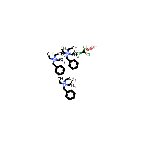 CC[N+](CC)(CC)Cc1ccccc1.CC[N+](CC)(CC)Cc1ccccc1.CC[N+](CC)(CC)Cc1ccccc1.ClC(Cl)Cl.[Br-].[Br-].[Br-]